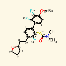 CCCCOc1ccc(-c2ccc(CCC3CCCO3)c(F)c2SC(=O)N(C)C)c(F)c1F